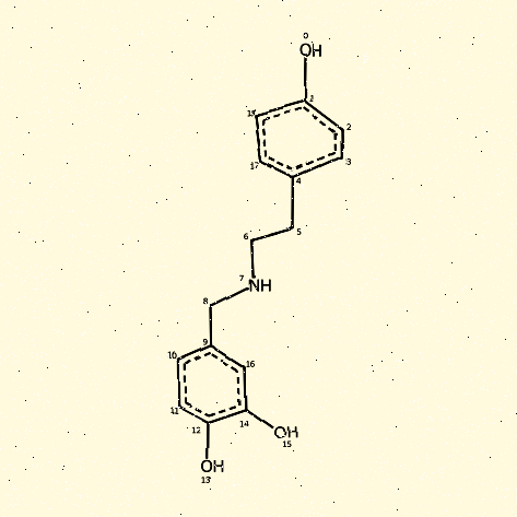 Oc1ccc(CCNCc2ccc(O)c(O)c2)cc1